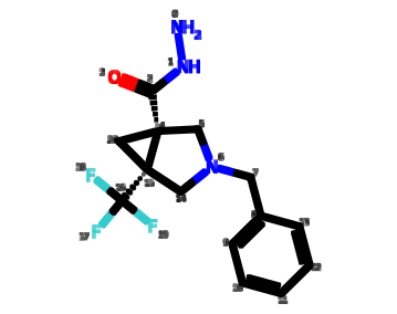 NNC(=O)[C@]12CN(Cc3ccccc3)C[C@@]1(C(F)(F)F)C2